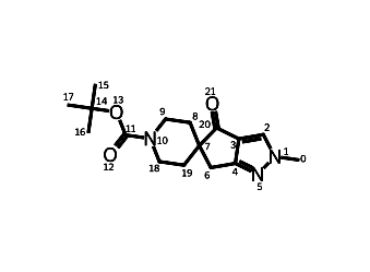 Cn1cc2c(n1)CC1(CCN(C(=O)OC(C)(C)C)CC1)C2=O